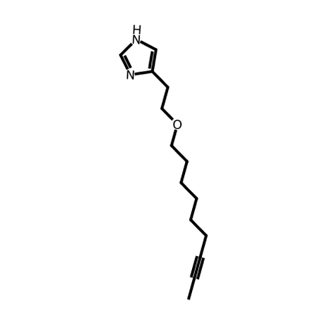 CC#CCCCCCCOCCc1c[nH]cn1